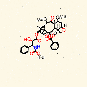 C=CC1(C)C2=C(C)[C@@H](OC(=O)[C@H](O)C(NC(=O)OC(C)(C)C)c3ccccc3)C[C@@]1(O)[C@@H](OC(=O)c1ccccc1)[C@@H]1[C@]3(OC(C)=O)CO[C@@H]3C[C@H](OC)[C@@]1(C)C(=O)[C@@H]2OC